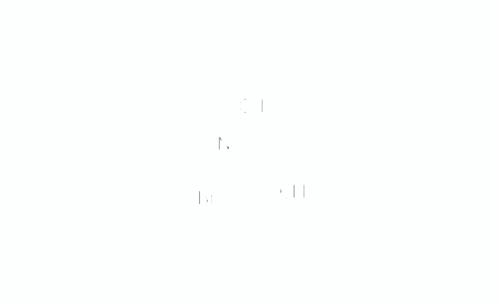 CCCC[N+]1(CC)CCCC1.[Br-]